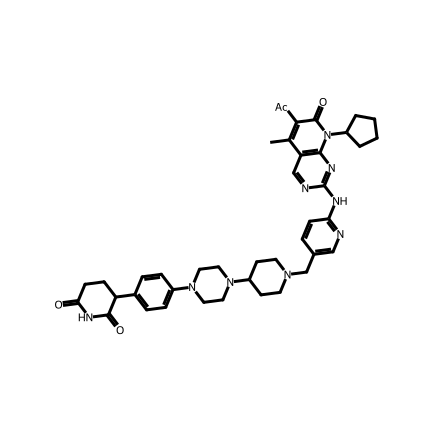 CC(=O)c1c(C)c2cnc(Nc3ccc(CN4CCC(N5CCN(c6ccc(C7CCC(=O)NC7=O)cc6)CC5)CC4)cn3)nc2n(C2CCCC2)c1=O